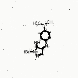 CN(C)c1ccc(N=C2C=NN(C(C)(C)C)C2=N)cc1